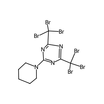 BrC(Br)(Br)c1nc(N2CCCCC2)nc(C(Br)(Br)Br)n1